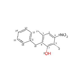 Cc1cc([N+](=O)[O-])c(C)c(O)c1Cc1ccccc1